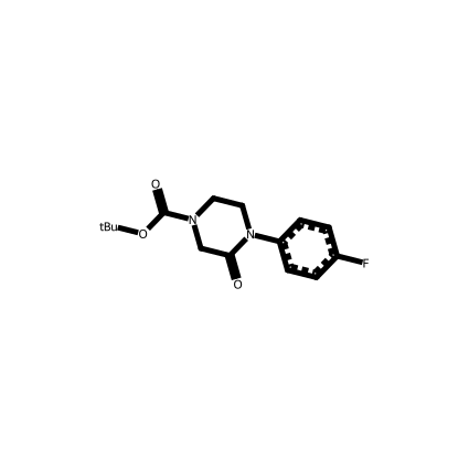 CC(C)(C)OC(=O)N1CCN(c2ccc(F)cc2)C(=O)C1